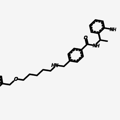 CC(NC(=O)c1ccc(CNCCCCCOCc2cccnc2)cc1)c1ccccc1N